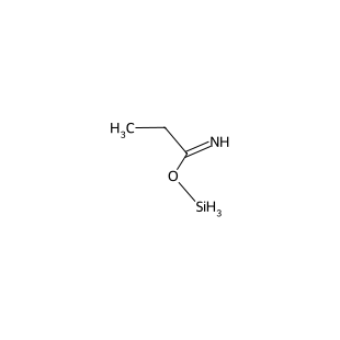 CCC(=N)O[SiH3]